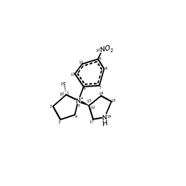 C[C@H]1CCC[N+]1(c1ccc([N+](=O)[O-])cc1)[C@H]1CCNC1